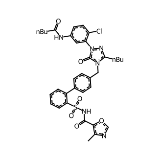 CCCCC(=O)Nc1ccc(Cl)c(-n2nc(CCCC)n(Cc3ccc(-c4ccccc4S(=O)(=O)NC(=O)c4ocnc4C)cc3)c2=O)c1